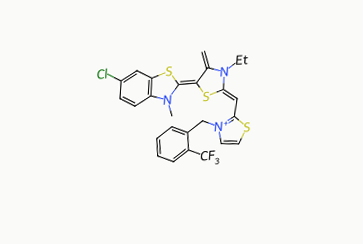 C=C1/C(=C2\Sc3cc(Cl)ccc3N2C)S/C(=C\c2scc[n+]2Cc2ccccc2C(F)(F)F)N1CC